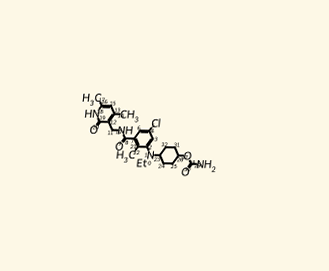 CCN(c1cc(Cl)cc(C(=O)NCc2c(C)cc(C)[nH]c2=O)c1C)C1CCC(OC(N)=O)CC1